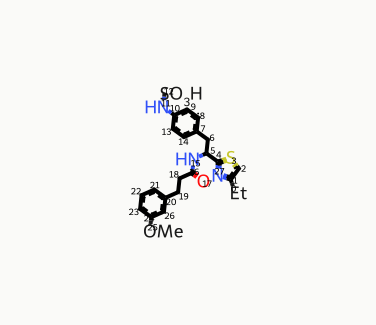 CCc1csc(C(Cc2[c]cc(NS(=O)(=O)O)cc2)NC(=O)CCc2cccc(OC)c2)n1